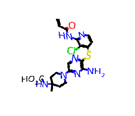 C=CC(=O)Nc1nccc(Sc2ncc(N3CCC(C)(NC(=O)O)CC3)nc2N)c1Cl